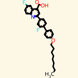 CCCCCCCCCOc1ccc(-c2ccc(-c3cc(C(=O)O)c4cc(F)ccc4n3)cc2F)cc1